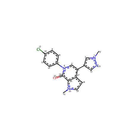 Cn1cc(-c2cn(-c3ccc(Cl)cc3)c(=O)c3c2ccn3C)cn1